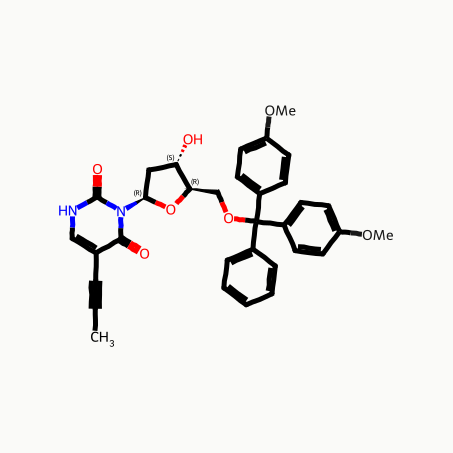 CC#Cc1c[nH]c(=O)n([C@H]2C[C@H](O)[C@@H](COC(c3ccccc3)(c3ccc(OC)cc3)c3ccc(OC)cc3)O2)c1=O